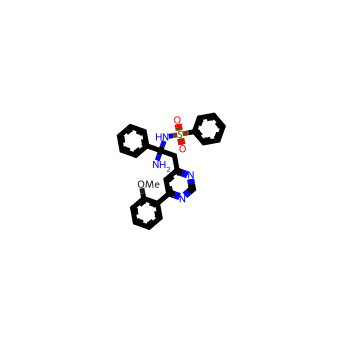 COc1ccccc1-c1cc(CC(N)(NS(=O)(=O)c2ccccc2)c2ccccc2)ncn1